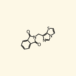 O=C1c2ccccc2C(=O)N1Cc1ncn2ccsc12